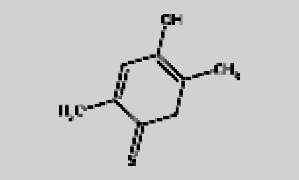 CC1=CC(O)=C(C)CC1=S